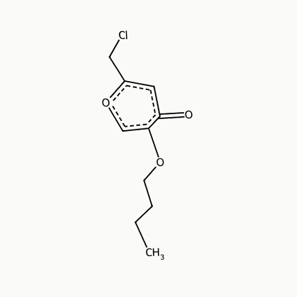 CCCCOc1coc(CCl)cc1=O